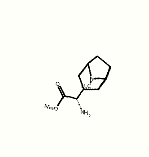 COC(=O)[C@@H](N)C1CC2CCC(C1)N2C